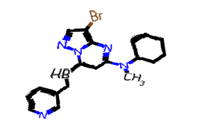 CN(c1cc(BCc2cccnc2)n2ncc(Br)c2n1)C1CCCCC1